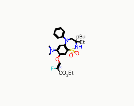 CCCC[C@@]1(CC)CN(c2ccccc2)c2cc(N(C)C)c(O/C=C(\F)C(=O)OCC)cc2S(=O)(=O)N1